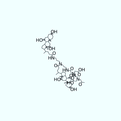 CC(=O)CN(CCN(CC(=O)O)CC(=O)NCCCN(CCCNC(=O)CCC(C)C1CCC2C3C(C[C@H](O)[C@]12C)[C@@]1(C)CC[C@@H](O)CC1C[C@H]3O)C(=O)CCC(C)C1CCC2C3C(C[C@H](O)[C@]12C)[C@@]1(C)CC[C@@H](O)CC1C[C@H]3O)CC(=O)O